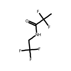 CC(F)(F)C(=O)NCC(F)(F)F